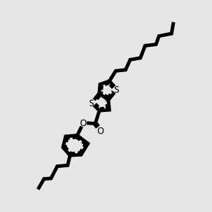 CCCCCCCCCc1cc2sc(C(=O)Oc3ccc(CCCCC)cc3)cc2s1